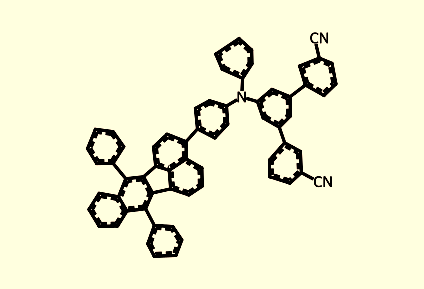 N#Cc1cccc(-c2cc(-c3cccc(C#N)c3)cc(N(c3ccccc3)c3ccc(-c4ccc5c6c(cccc46)-c4c-5c(-c5ccccc5)c5ccccc5c4-c4ccccc4)cc3)c2)c1